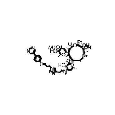 CC[C@H]1OC(=O)[C@H](C)C([C@H]2C[C@@](C)(OC)[C@@H](O)[C@H](C)O2)[C@H](C)[C@@H](O[C@@H]2O[C@H](C)C[C@H](N(C)CCc3cn(CCCOc4ccc(-c5cncnc5)cc4)nn3)[C@H]2O)[C@](C)(O)C[C@@H](C)CN(C)[C@H](C)[C@@H](O)[C@]1(C)O